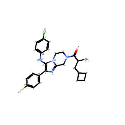 CC(CC1CCC1)C(=O)N1CCn2c(nc(-c3ccc(F)cc3)c2Nc2ccc(Cl)cc2)C1